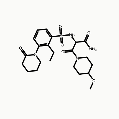 CCc1c(N2CCCCC2=O)cccc1S(=O)(=O)N[C@@H](C(N)=O)C(=O)N1CCC(OC)CC1